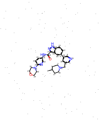 CC1CCN(Cc2cncc(-c3ccc4[nH]nc(C(=O)Nc5ccc(N6CCOCC6)nc5)c4c3)c2)CC1